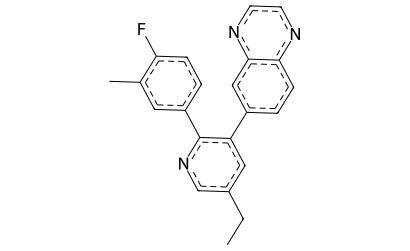 CCc1cnc(-c2ccc(F)c(C)c2)c(-c2ccc3nccnc3c2)c1